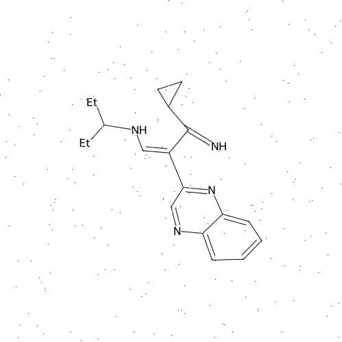 CCC(CC)N/C=C(\C(=N)C1CC1)c1cnc2ccccc2n1